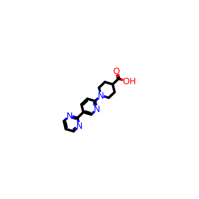 O=C(O)C1CCN(c2ccc(-c3ncccn3)cn2)CC1